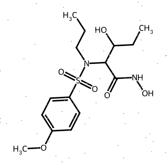 CCCN(C(C(=O)NO)C(O)CC)S(=O)(=O)c1ccc(OC)cc1